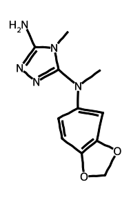 CN(c1ccc2c(c1)OCO2)c1nnc(N)n1C